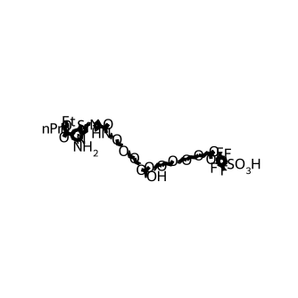 CCCN(OCC)C(=O)C1=Cc2sc(CN3CC(C(=O)NCCOCCOCCOCCOC(CO)OCCOCCOCCOCCOCCC(=O)Oc4c(F)c(F)c(S(=O)(=O)O)c(F)c4F)C3)cc2N=C(N)C1